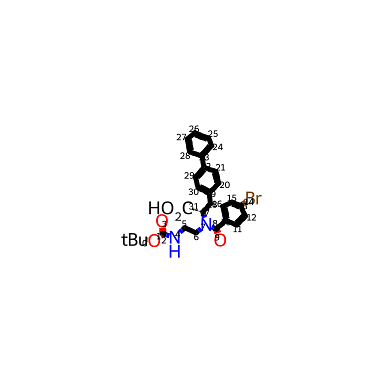 CC(C)(C)OC(=O)NCCN(C(=O)c1ccc(Br)cc1)[C@@H](Cc1ccc(-c2ccccc2)cc1)C(=O)O